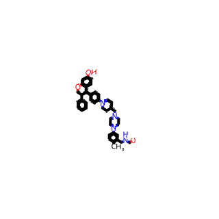 Cc1ccc(N2CCN(CC3CCN(c4ccc(C5c6ccc(O)cc6OCC5c5ccccc5)cc4)CC3)CC2)cc1CNC=O